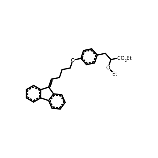 CCOC(=O)C(Cc1ccc(OCCCC=C2c3ccccc3-c3ccccc32)cc1)OCC